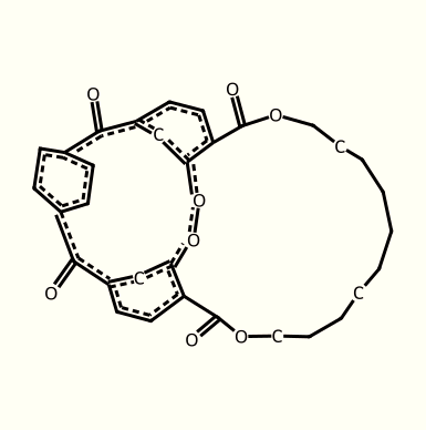 O=C1OCCCCCCCCCCOC(=O)c2ccc3cc2ooc2cc(ccc21)c(=O)c1ccc(cc1)c3=O